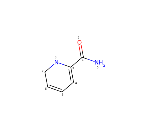 NC(=O)C1=CC=CC[N]1